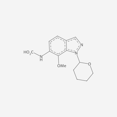 COc1c(NC(=O)O)ccc2cnn(C3CCCCO3)c12